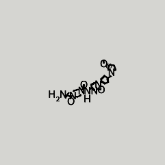 CO[C@@H]1CCCN(Cc2ccc(-n3ccc(NC(=O)N4CCN(C(=O)C(C)(C)N)CC4)nc3=O)cc2)C1